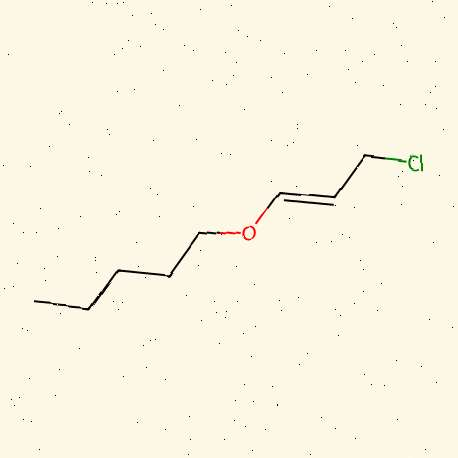 CCCCCO/C=C/CCl